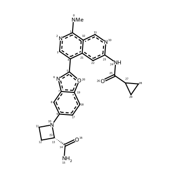 CNc1ncc(-c2nc3cc(N4CC[C@H]4C(N)=O)ccc3o2)c2cc(NC(=O)C3CC3)ncc12